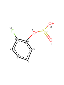 O=S(O)Oc1ccccc1F